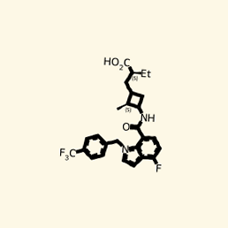 CC[C@@H](CC1CC(NC(=O)c2ccc(F)c3ccn(Cc4ccc(C(F)(F)F)cc4)c23)[C@H]1C)C(=O)O